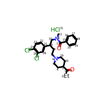 CCC(=O)C1CCN(CCC(CN(C)C(=O)c2ccccc2)c2ccc(Cl)c(Cl)c2)CC1.Cl